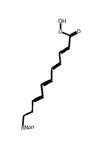 CCCCCCCCCCCC=CC=CC=CC=CC(=O)OO